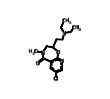 CCN(CC)CCC1CN(C)C(=O)c2cc(Cl)cnc2O1